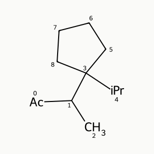 CC(=O)C(C)C1(C(C)C)CCCC1